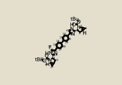 CC(C)(C)OC(=O)N1C2C[C@@H]2C[C@H]1c1nc(-c2ccc(-c3ccc(-c4nc([C@@H]5CC6C[C@H]6N5C(=O)OC(C)(C)C)[nH]c4F)cc3)cc2)c[nH]1